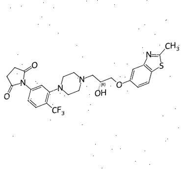 Cc1nc2cc(OC[C@H](O)CN3CCN(c4cc(N5C(=O)CCC5=O)ccc4C(F)(F)F)CC3)ccc2s1